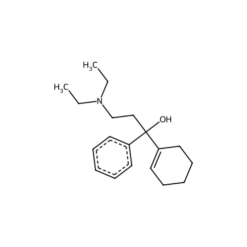 CCN(CC)CCC(O)(C1=CCCCC1)c1ccccc1